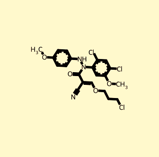 COc1ccc(NN(C(=O)C(C#N)=COCCCCl)c2cc(OC)c(Cl)cc2Cl)cc1